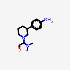 CN(C)C(C=O)N1CCCC(c2ccc(N)cc2)C1